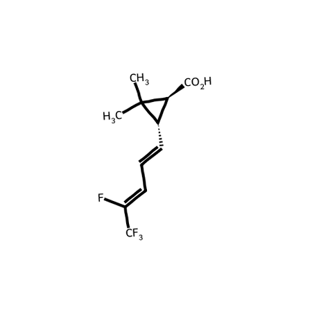 CC1(C)[C@@H](C=CC=C(F)C(F)(F)F)[C@@H]1C(=O)O